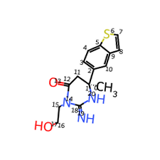 C[C@@]1(c2ccc3sccc3c2)CC(=O)N(CCO)C(=N)N1